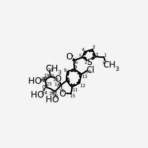 CCc1ccc(C(=O)c2cc3c(cc2Cl)CO[C@]32O[C@H](C)[C@@H](O)[C@H](O)[C@H]2O)s1